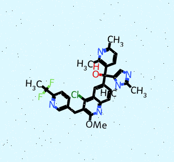 COc1nc2ccc(C(O)(c3ccc(C)nc3C)c3cnc(C)n3C)cc2c(Cl)c1Cc1ccc(C(C)(F)F)nc1